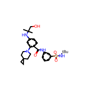 CC(C)(C)NS(=O)(=O)c1cccc(NC(=O)c2ccc(NC(C)(C)CO)cc2N2CCC3(CC2)CC3)c1